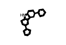 C1=CC(c2ccccc2)Cc2c1[nH]c1ccc(-c3ccccc3)cc21